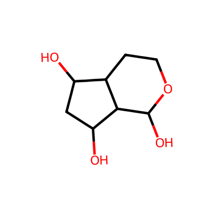 OC1CC(O)C2C(O)OCCC12